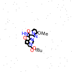 COc1cccn2c(C3=C(C4=NC=CN5c6c(cccc64)CC5C(=O)OC(C)(C)C)C(=O)NC3=O)cnc12